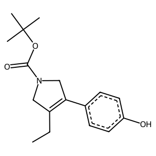 CCC1=C(c2ccc(O)cc2)CN(C(=O)OC(C)(C)C)C1